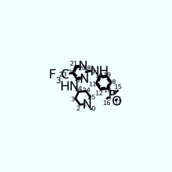 CN1CCC(Nc2nc(Nc3ccc(P(C)(C)=O)cc3)ncc2C(F)(F)F)CC1